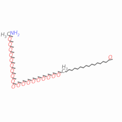 C1CO1.C1CO1.C1CO1.C1CO1.C1CO1.C1CO1.C1CO1.C1CO1.C1CO1.C1CO1.C1CO1.C1CO1.C1CO1.C1CO1.C1CO1.C1CO1.C1CO1.C1CO1.C1CO1.CCCCCCCCCCCCCCCCC1CO1.CN